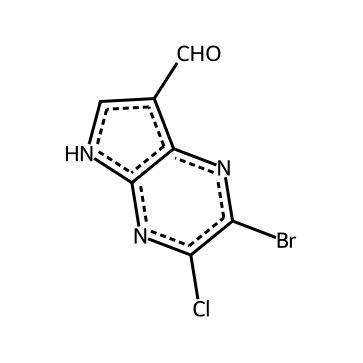 O=Cc1c[nH]c2nc(Cl)c(Br)nc12